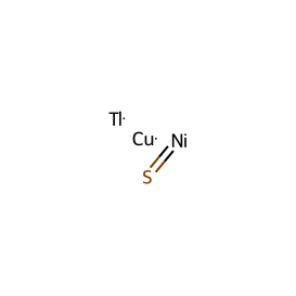 [Cu].[S]=[Ni].[Tl]